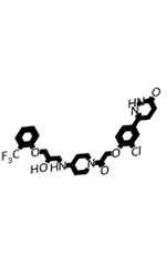 O=C1CCC(c2ccc(OCC(=O)N3CCC(NCC(O)COc4ccccc4C(F)(F)F)CC3)c(Cl)c2)=NN1